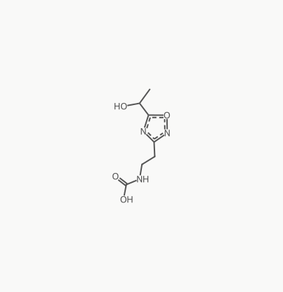 CC(O)c1nc(CCNC(=O)O)no1